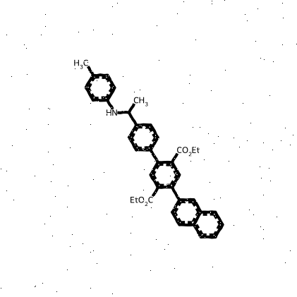 CCOC(=O)c1cc(-c2ccc3ccccc3c2)c(C(=O)OCC)cc1-c1ccc(C(C)Nc2ccc(C)cc2)cc1